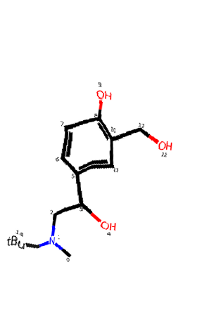 CN(CC(O)c1ccc(O)c(CO)c1)C(C)(C)C